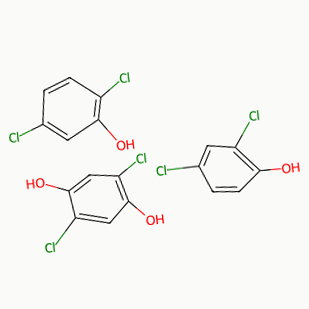 Oc1cc(Cl)c(O)cc1Cl.Oc1cc(Cl)ccc1Cl.Oc1ccc(Cl)cc1Cl